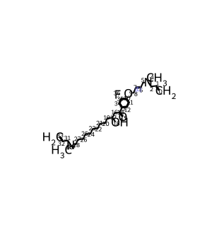 C=CCN(C)C/C=C/COc1ccc(C(=O)CC(O)CCCCCCCCCCN(C)CC=C)cc1F